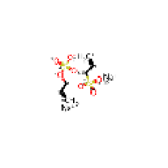 C=CCOS(=O)(=O)[O-].C=CCS(=O)(=O)[O-].[Na+].[Na+]